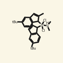 CC1=Cc2cc(C(C)(C)C)ccc2[CH]1[Zr]([Cl])([Cl])([CH]1C(C)=Cc2cc(C(C)(C)C)ccc21)[SiH](C)C